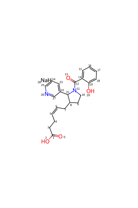 O=C(O)CC/C=C\CC1CCN(C(=O)c2ccccc2O)C1c1cccnc1.[NaH]